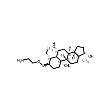 CC[C@H]1/C(=N\OCCN)CC[C@@]2(C)C1[C@H](O)C[C@H]1[C@@H]3CC[C@H](O)[C@@]3(C)CC[C@@H]12